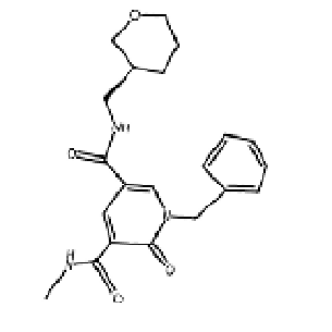 CNC(=O)c1cc(C(=O)NC[C@@H]2CCCOC2)cn(Cc2ccccc2)c1=O